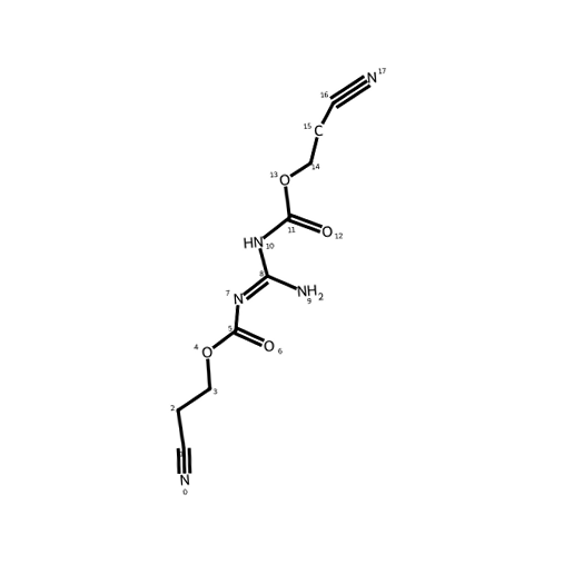 N#CCCOC(=O)/N=C(\N)NC(=O)OCCC#N